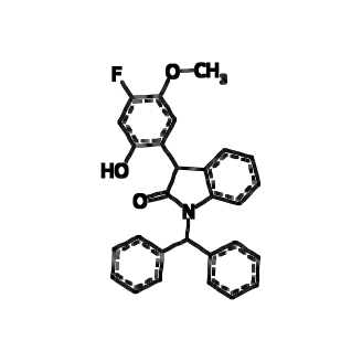 COc1cc(C2C(=O)N(C(c3ccccc3)c3ccccc3)c3ccccc32)c(O)cc1F